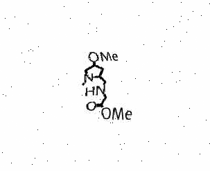 COC(=O)CNCC1CC(OC)CN1C